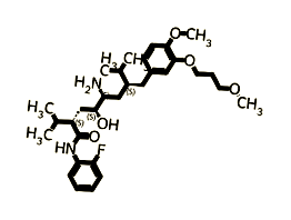 COCCCOc1cc(C[C@@H](C[C@H](N)[C@@H](O)C[C@H](C(=O)Nc2ccccc2F)C(C)C)C(C)C)ccc1OC